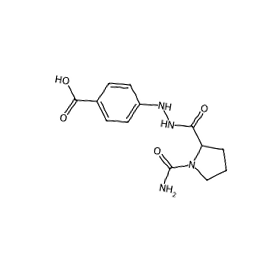 NC(=O)N1CCCC1C(=O)NNc1ccc(C(=O)O)cc1